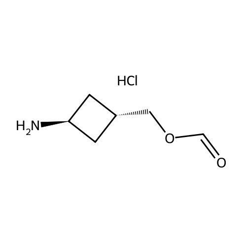 Cl.N[C@H]1C[C@H](COC=O)C1